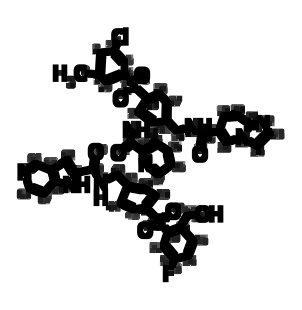 Cc1cc(Cl)cc(S(=O)(=O)c2ccc(CNC(=O)c3ccc4nccn4c3)cc2)c1.NC(=O)c1ccccn1.O=C(NCc1ccc(S(=O)(=O)c2cc(F)ccc2CO)cc1)c1cc2cnccc2[nH]1